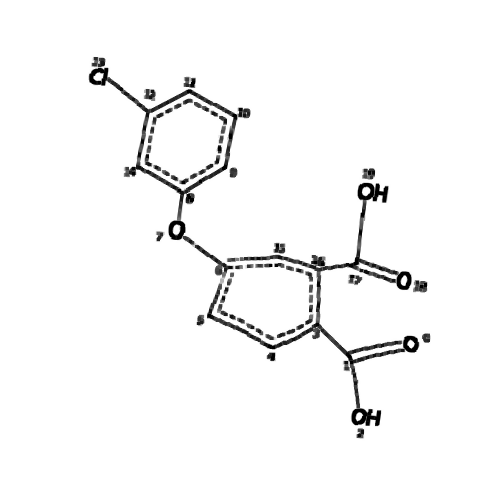 O=C(O)c1ccc(Oc2cccc(Cl)c2)cc1C(=O)O